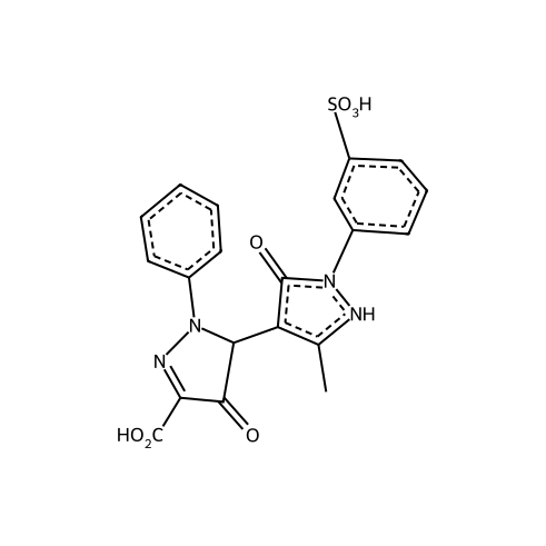 Cc1[nH]n(-c2cccc(S(=O)(=O)O)c2)c(=O)c1C1C(=O)C(C(=O)O)=NN1c1ccccc1